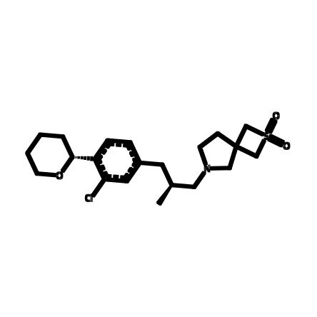 C[C@@H](Cc1ccc([C@H]2CCCCO2)c(Cl)c1)CN1CCC2(C1)CS(=O)(=O)C2